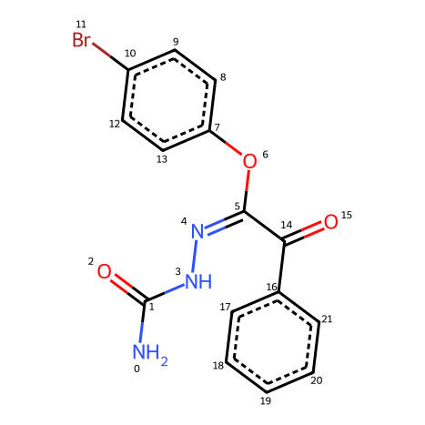 NC(=O)NN=C(Oc1ccc(Br)cc1)C(=O)c1ccccc1